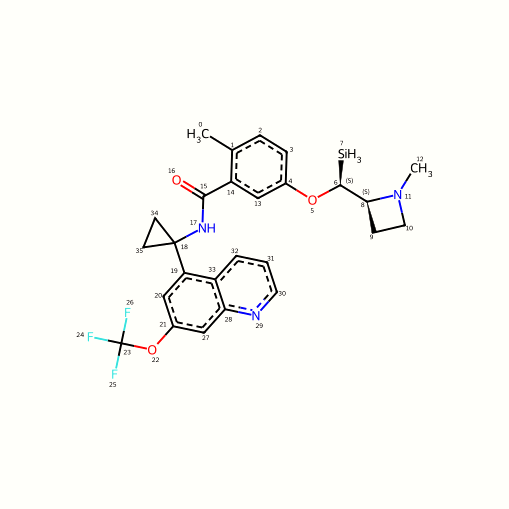 Cc1ccc(O[C@@H]([SiH3])[C@@H]2CCN2C)cc1C(=O)NC1(c2cc(OC(F)(F)F)cc3ncccc23)CC1